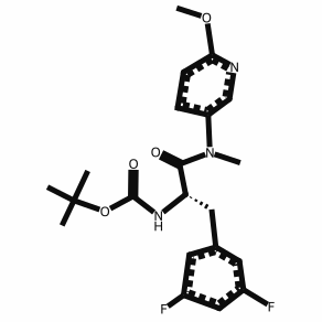 COc1ccc(N(C)C(=O)[C@H](Cc2cc(F)cc(F)c2)NC(=O)OC(C)(C)C)cn1